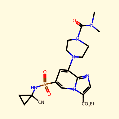 CCOC(=O)c1cnc2c(N3CCN(C(=O)N(C)C)CC3)cc(S(=O)(=O)NC3(C#N)CC3)cn12